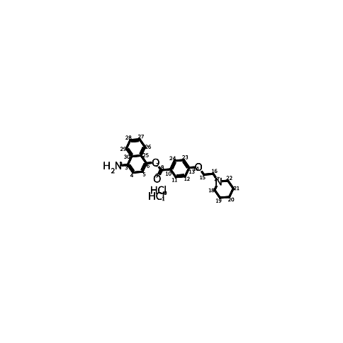 Cl.Cl.Nc1ccc(OC(=O)c2ccc(OCCN3CCCCC3)cc2)c2ccccc12